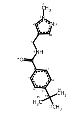 Cn1cc(CNC(=O)c2ccc(C(C)(C)C)cc2)cn1